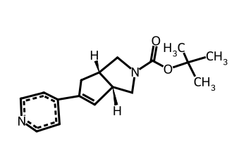 CC(C)(C)OC(=O)N1C[C@H]2CC(c3ccncc3)=C[C@H]2C1